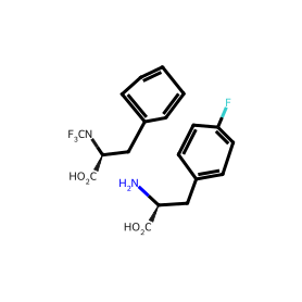 N[C@@H](Cc1ccc(F)cc1)C(=O)O.O=C(O)[C@H](Cc1ccccc1)NC(F)(F)F